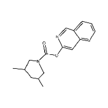 CC1CC(C)CN(C(=O)Oc2cc3ccccc3cn2)C1